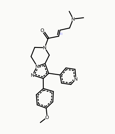 COc1ccc(-c2nn3c(c2-c2ccncc2)CN(C(=O)/C=C/CN(C)C)CC3)cc1